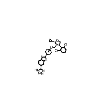 Clc1cccc(Cl)c1-c1noc(C2CC2)c1COC12CCC(c3nc4ccc(-c5nnn[nH]5)cc4s3)(CC1)CC2